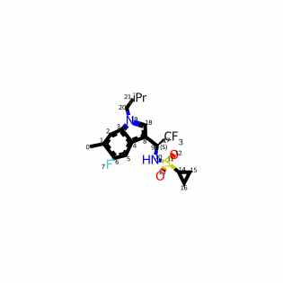 Cc1cc2c(cc1F)c([C@H](NS(=O)(=O)C1CC1)C(F)(F)F)cn2CC(C)C